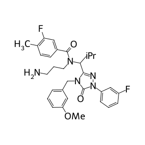 COc1cccc(Cn2c(C(C(C)C)N(CCCN)C(=O)c3ccc(C)c(F)c3)nn(-c3cccc(F)c3)c2=O)c1